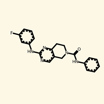 O=C(Nc1ccccc1)N1CCc2nc(Nc3cccc(F)c3)ncc2C1